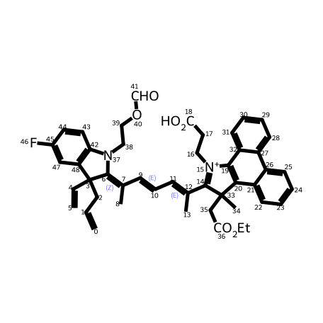 C=CCC1(C=C)/C(=C(C)/C=C/C=C(\C)C2=[N+](CCC(=O)O)c3c(c4ccccc4c4ccccc34)C2(C)CC(=O)OCC)N(CCOC=O)c2ccc(F)cc21